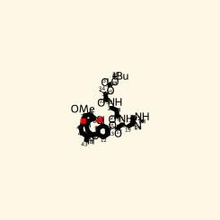 COc1ccc2c3c1O[C@@H]1C[C@@](O)(CC=C1OC(=O)[C@H](Cc1c[nH]cn1)NC(=O)CCNC(=O)[C@H](C)OC(=O)OC(C)(C)C)[C@@H](C2)C(C)CCC3